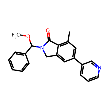 Cc1cc(-c2cccnc2)cc2c1C(=O)N(C(OC(F)(F)F)c1ccccc1)C2